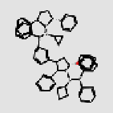 c1ccc([C@H]2CC[C@H](c3ccccc3)P2N(C2CC2)P(c2ccccc2)c2cccc(C3C[C@H](c4ccccc4)P(N(C4CCC4)P(c4ccccc4)c4ccccc4)[C@H]3c3ccccc3)c2)cc1